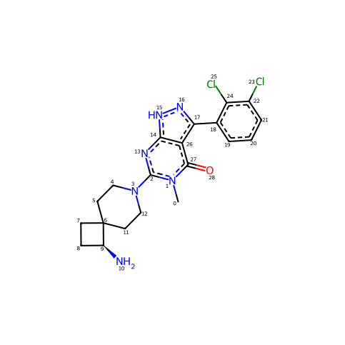 Cn1c(N2CCC3(CC[C@@H]3N)CC2)nc2[nH]nc(-c3cccc(Cl)c3Cl)c2c1=O